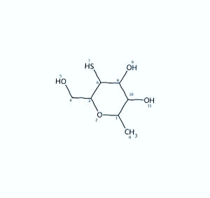 CC1OC(CO)C(S)C(O)C1O